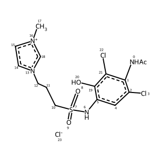 CC(=O)Nc1c(Cl)cc(NS(=O)(=O)CCCn2cc[n+](C)c2)c(O)c1Cl.[Cl-]